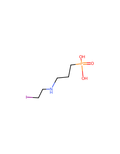 O=P(O)(O)CCCNCCI